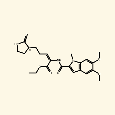 CCOC(=O)C(=CCC[C@H]1CCNC1=O)NC(=O)c1cc2cc(OC)c(OC)cc2n1C